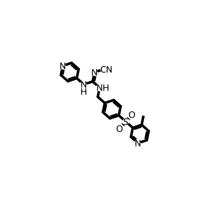 Cc1ccncc1S(=O)(=O)c1ccc(CN/C(=N\C#N)Nc2ccncc2)cc1